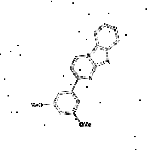 COc1cc(OC)cc(-c2ccn3c(n2)nc2ccccc23)c1